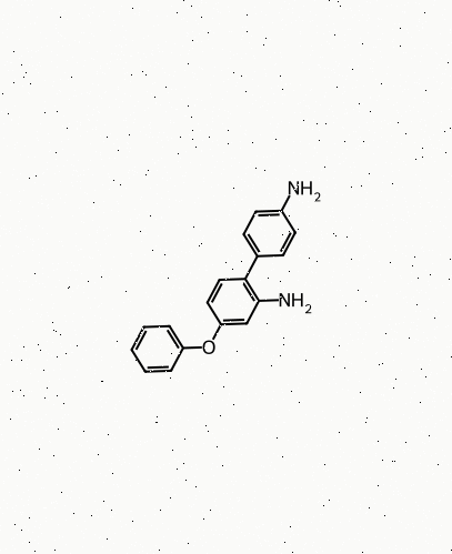 Nc1ccc(-c2ccc(Oc3ccccc3)cc2N)cc1